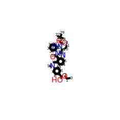 CCOC(O)c1ccc(N(C)Cc2cccc3nc([C@H](CC)NC(=O)OC(C)(C)C)n(-c4ccccc4)c(=O)c23)cc1